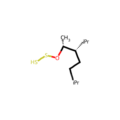 CC(C)CC[C@@H](C(C)C)[C@@H](C)OSS